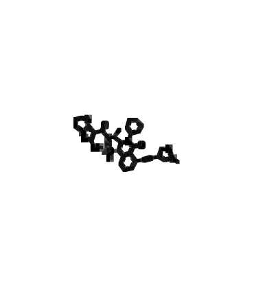 C[C@H](NC(=O)c1c(N)nn2cccnc12)c1c(O)c2cccc(C#Cc3cnn(C)c3)c2c(=O)n1-c1ccccc1